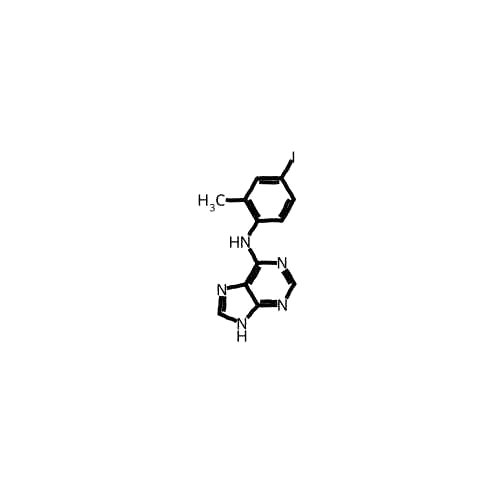 Cc1cc(I)ccc1Nc1ncnc2[nH]cnc12